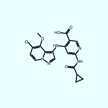 COc1c(Cl)ccn2ncc(Nc3cc(NC(=O)C4CC4)ncc3C(=O)O)c12